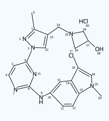 Cc1nn(-c2ccnc(Nc3ccc4c(c3)c(Cl)cn4C)n2)cc1CN1CC(O)C1.Cl